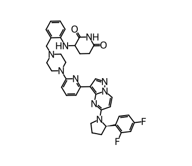 O=C1CCC(Nc2ccccc2CN2CCN(c3cccc(-c4cnn5ccc(N6CCC[C@@H]6c6ccc(F)cc6F)nc45)n3)CC2)C(=O)N1